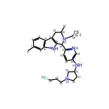 Cc1ccc2c3c([nH]c2c1)C(c1ccc(NC2CCN(CCCF)C2)cn1)N(CC(F)(F)F)C(C)C3